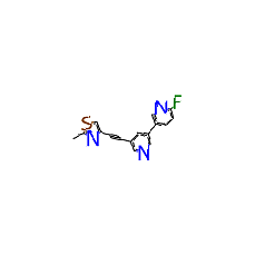 Cc1nc(C#Cc2cncc(-c3ccc(F)nc3)c2)cs1